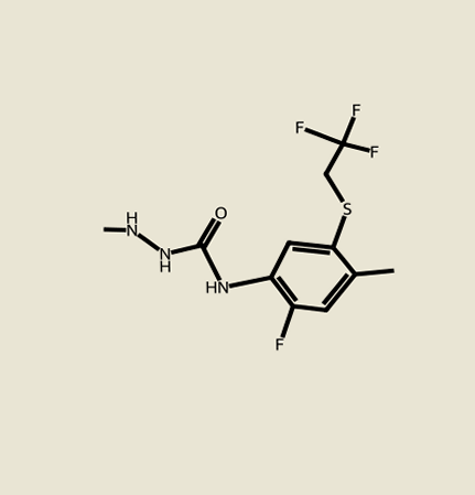 CNNC(=O)Nc1cc(SCC(F)(F)F)c(C)cc1F